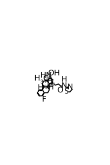 C[C@@]12CC[C@H]3c4cccc(F)c4CC[C@H]3[C@H]1[C@H](CCC(=O)NC1=NCCS1)C[C@H]2NO